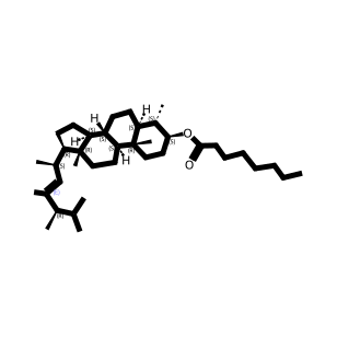 CCCCCCCC(=O)O[C@H]1CC[C@@]2(C)[C@@H](CC[C@@H]3[C@@H]2CC[C@]2(C)[C@@H]([C@H](C)/C=C(\C)[C@H](C)C(C)C)CC[C@@H]32)[C@@H]1C